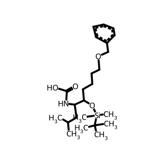 CC(C)CC(NC(=O)O)C(CCCCOCc1ccccc1)O[Si](C)(C)C(C)(C)C